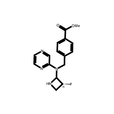 COC(=O)c1ccc(CN(c2cnccn2)C2NC[C@H]2F)cc1